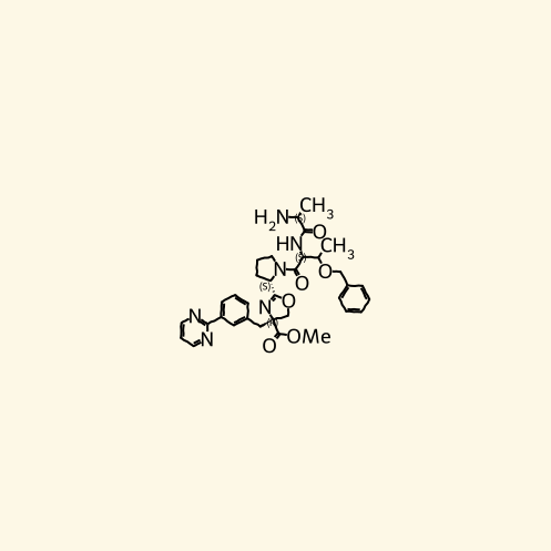 COC(=O)[C@@]1(Cc2cccc(-c3ncccn3)c2)COC([C@@H]2CCCN2C(=O)[C@@H](NC(=O)[C@H](C)N)C(C)OCc2ccccc2)=N1